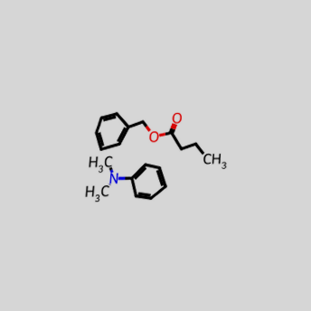 CCCC(=O)OCc1ccccc1.CN(C)c1ccccc1